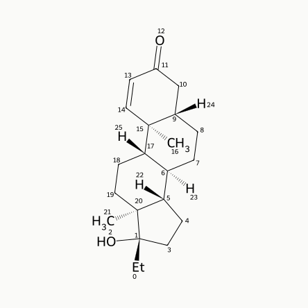 CC[C@]1(O)CC[C@H]2[C@@H]3CC[C@H]4CC(=O)C=C[C@]4(C)[C@H]3CC[C@@]21C